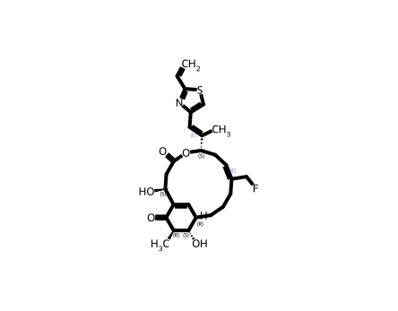 C=Cc1nc(/C=C(\C)[C@@H]2C/C=C(/CF)CCC[C@@H]3C=C(C(=O)[C@H](C)[C@H]3O)[C@@H](O)CC(=O)O2)cs1